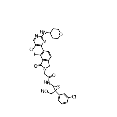 O=C(CN1Cc2ccc(-c3nc(NC4CCOCC4)ncc3Cl)c(F)c2C1=O)NC1S[C@]1(CO)c1cccc(Cl)c1